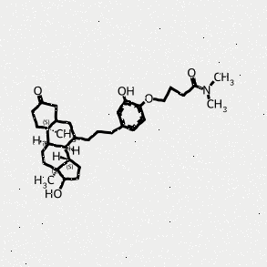 CN(C)C(=O)CCCOc1ccc(CCCC2CC3CC(=O)CC[C@]3(C)[C@@H]3CC[C@]4(C)C(O)CC[C@H]4[C@H]23)cc1O